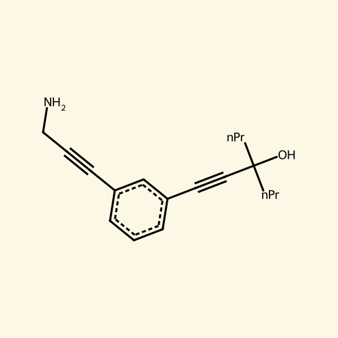 CCCC(O)(C#Cc1cccc(C#CCN)c1)CCC